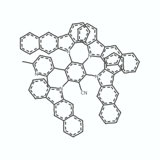 Cc1ccc(-c2c(-n3c4ccccc4c4cc5ccccc5cc43)c(C#N)c(-n3c4ccccc4c4cc5ccccc5cc43)c(-n3c4ccccc4c4cc5ccccc5cc43)c2-n2c3ccccc3c3cc4ccccc4cc32)c(C)n1